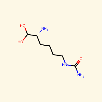 NC(=O)NCCCC[C@@H](N)C(O)O